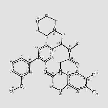 CCOc1cccc(-c2ccc(C(CN3CCOCC3)N(C)C(=O)CN3C(=O)COc4cc(Cl)c(Cl)cc43)cc2)c1